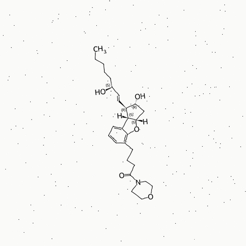 CCCCC[C@H](O)C=C[C@@H]1[C@H]2c3cccc(CCCC(=O)N4CCOCC4)c3O[C@H]2C[C@H]1O